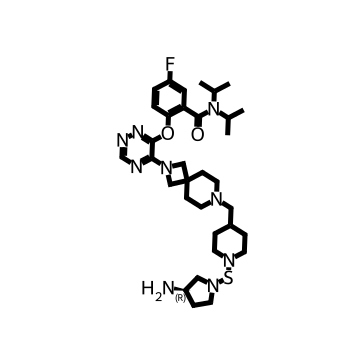 CC(C)N(C(=O)c1cc(F)ccc1Oc1nncnc1N1CC2(CCN(CC3CCN(SN4CC[C@@H](N)C4)CC3)CC2)C1)C(C)C